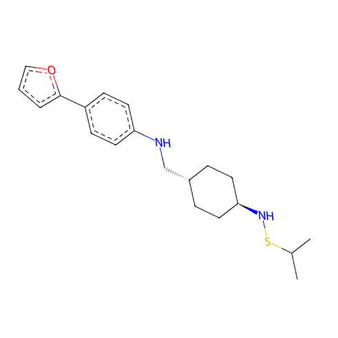 CC(C)SN[C@H]1CC[C@H](CNc2ccc(-c3ccco3)cc2)CC1